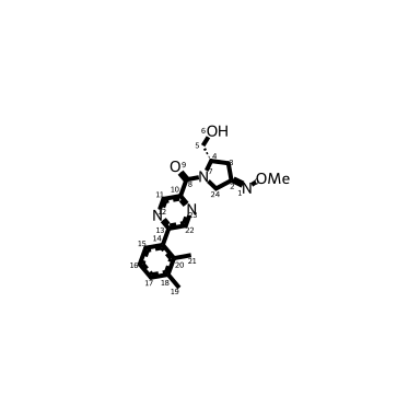 CO/N=C1\C[C@@H](CO)N(C(=O)c2cnc(-c3cccc(C)c3C)cn2)C1